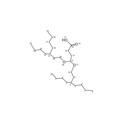 CCCCC(CCCC)CCOC(CCC(=O)O)OCCC(CCCC)CCCC